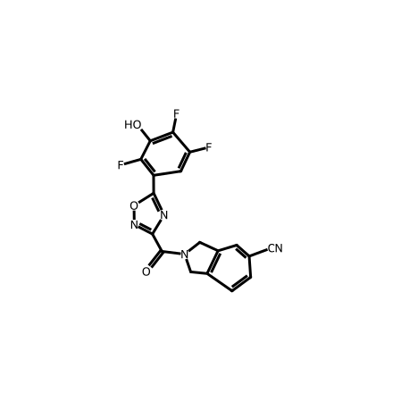 N#Cc1ccc2c(c1)CN(C(=O)c1noc(-c3cc(F)c(F)c(O)c3F)n1)C2